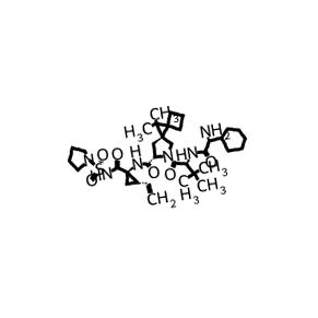 C=C[C@@H]1C[C@]1(NC(=O)[C@@H]1C[C@@]2(CN1C(=O)[C@@H](NC(=O)[C@@H](N)C1CCCCC1)C(C)(C)C)C(C)(C)C21CCC1)C(=O)NS(=O)(=O)N1CCCC1